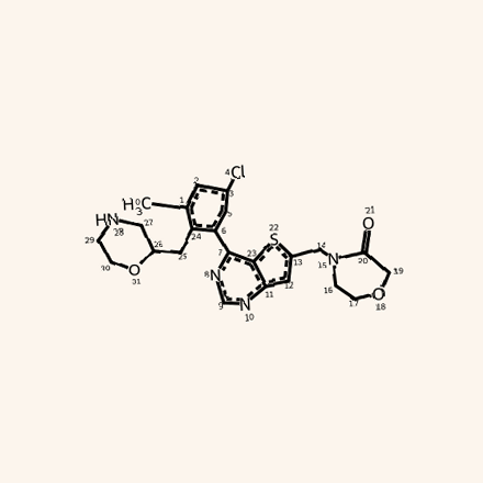 Cc1cc(Cl)cc(-c2ncnc3cc(CN4CCOCC4=O)sc23)c1CC1CNCCO1